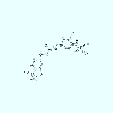 CC1(C)CCc2cc(OCC(=O)NCc3ccc(NS(C)(=O)=O)c(F)c3)ccc21